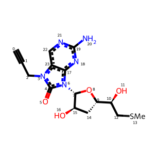 C#CCn1c(=O)n([C@@H]2O[C@H]([C@@H](O)CSC)C[C@H]2O)c2nc(N)ncc21